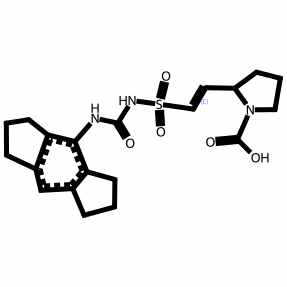 O=C(Nc1c2c(cc3c1CCC3)CCC2)NS(=O)(=O)/C=C/C1CCCN1C(=O)O